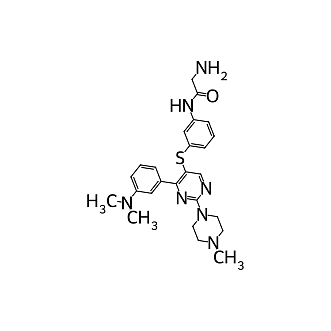 CN1CCN(c2ncc(Sc3cccc(NC(=O)CN)c3)c(-c3cccc(N(C)C)c3)n2)CC1